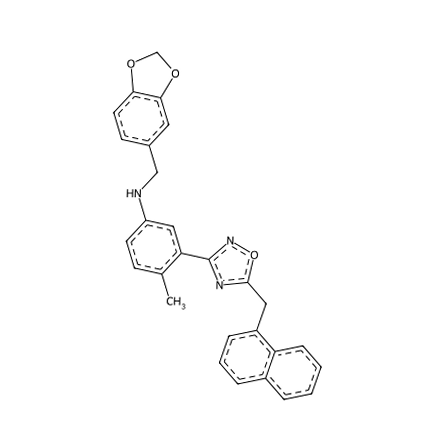 Cc1ccc(NCc2ccc3c(c2)OCO3)cc1-c1noc(Cc2cccc3ccccc23)n1